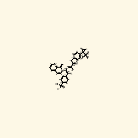 C=C1c2ncccc2C=CN1C(/N=C(\C)C1=Nc2cc(C3(C(F)(F)F)CC3)ccc2C1)=C(/C)c1ccc(C(F)(F)F)cc1